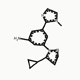 Cn1ccnc1-c1cc(N)cc(-n2nccc2C2CC2)c1